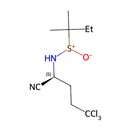 CCC(C)(C)[S+]([O-])N[C@H](C#N)CCC(Cl)(Cl)Cl